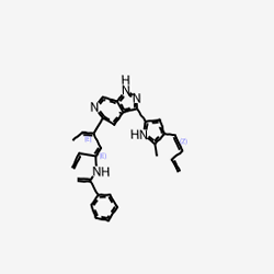 C=C/C=C\c1cc(-c2n[nH]c3cnc(C(/C=C(\C=C)NC(=C)c4ccccc4)=C/C)cc23)[nH]c1C